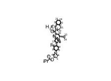 CC(C)C(=O)O[C@@H]1CCN(c2ccc(-c3cc4nc(C(=O)N5CCc6ccccc6[C@H]5C)cc(C5CC5)n4n3)c(F)c2)C1